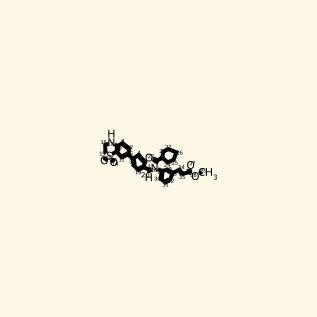 [2H]C(c1ccc(-c2ccc3c(c2)S(=O)(=O)CCN3)cc1)N(C(=O)C1CCCCC1)c1cccc(/C=C/C(=O)OC)c1